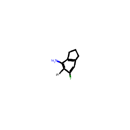 CC(C)c1c(F)cc2c(c1N)CCC2